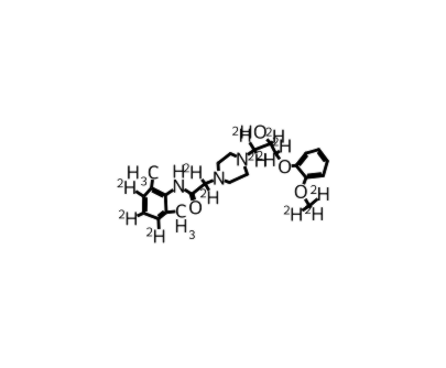 [2H]c1c([2H])c(C)c(NC(=O)C([2H])([2H])N2CCN(C([2H])([2H])C([2H])(O)C([2H])([2H])Oc3ccccc3OC([2H])([2H])[2H])CC2)c(C)c1[2H]